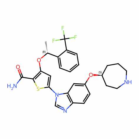 C[C@@H](Oc1cc(-n2cnc3ccc(O[C@H]4CCCNCC4)cc32)sc1C(N)=O)c1ccccc1C(F)(F)F